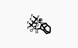 O=S(=O)(O)C(F)(F)C(F)(F)C(F)(F)S(=O)(=O)NC1C2CC3CC(C2)CC1C3